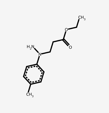 CCOC(=O)CCN(N)c1ccc(C)cc1